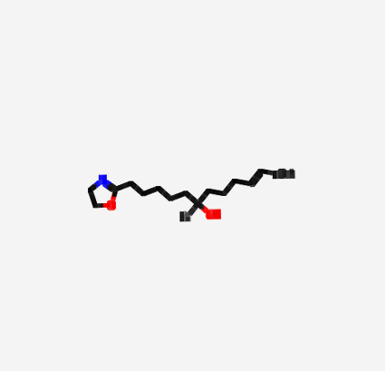 CCCCCCCCC=CCCCC(O)(CC)CCCCCC1=NCCO1